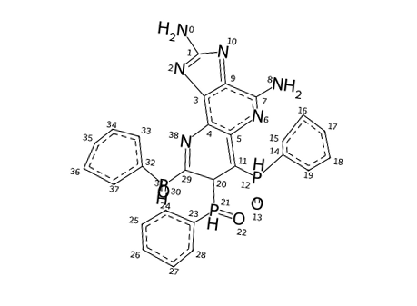 NC1=Nc2c3c(nc(N)c2=N1)=C([PH](=O)c1ccccc1)C([PH](=O)c1ccccc1)C([PH](=O)c1ccccc1)=N3